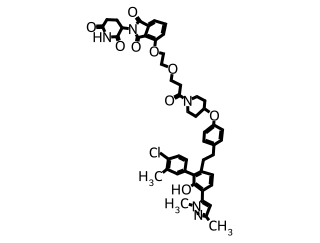 Cc1cc(-c2ccc(CCc3ccc(OC4CCN(C(=O)CCOCCOc5cccc6c5C(=O)N(C5CCC(=O)NC5=O)C6=O)CC4)cc3)c(-c3ccc(Cl)c(C)c3)c2O)n(C)n1